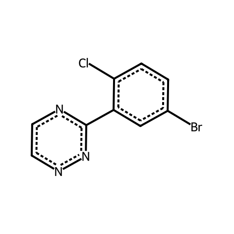 Clc1ccc(Br)cc1-c1nccnn1